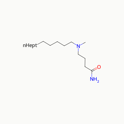 CCCCCCCCCCCCN(C)CCCC(N)=O